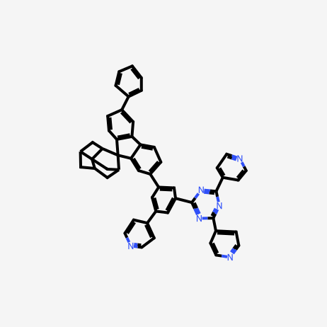 c1ccc(-c2ccc3c(c2)-c2ccc(-c4cc(-c5ccncc5)cc(-c5nc(-c6ccncc6)nc(-c6ccncc6)n5)c4)cc2C32C3CC4CC(C3)CC2C4)cc1